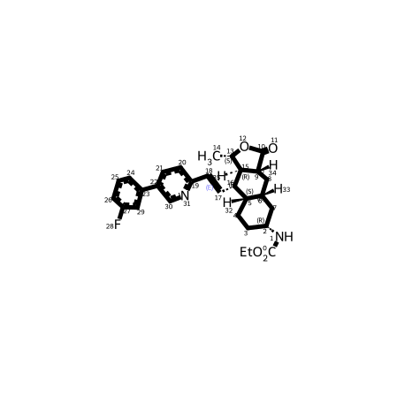 CCOC(=O)N[C@@H]1CC[C@H]2[C@@H](C1)C[C@H]1C(=O)O[C@@H](C)[C@@H]1[C@H]2/C=C/c1ccc(-c2cccc(F)c2)cn1